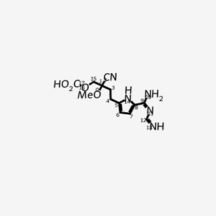 COC(C#N)(CCc1ccc(/C(N)=N\C=N)[nH]1)COC(=O)O